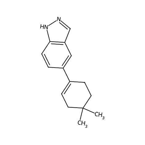 CC1(C)CC=C(c2ccc3[nH]ncc3c2)CC1